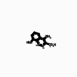 CCCCc1cccc2c(N)c(C(=O)O)nnc12